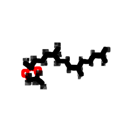 CC(C)=CCCC(C)=CCCC(C)=CCCC1(C)OCC(C)O1